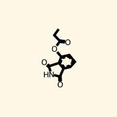 CCC(=O)Oc1cccc2c1C(=O)NC2=O